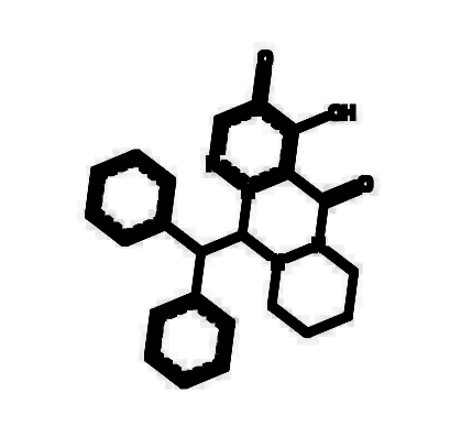 O=C1c2c(O)c(=O)cnn2C(C(c2ccccc2)c2ccccc2)N2CCCCN12